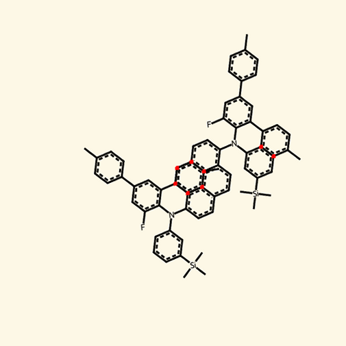 Cc1ccc(-c2cc(F)c(N(c3cccc([Si](C)(C)C)c3)c3ccc4ccc5c(N(c6cccc([Si](C)(C)C)c6)c6c(F)cc(-c7ccc(C)cc7)cc6-c6ccc(C)cc6)ccc6ccc3c4c65)c(-c3ccc(C)cc3)c2)cc1